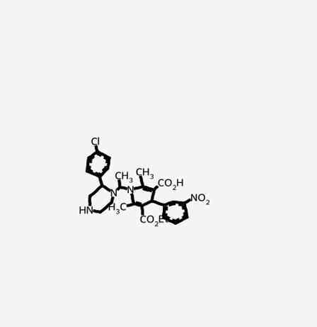 CCOC(=O)C1=C(C)N(C(C)N2CCNCC2c2ccc(Cl)cc2)C(C)=C(C(=O)O)C1c1cccc([N+](=O)[O-])c1